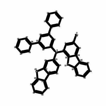 Brc1cc(N(c2cc(-c3ccccc3)cc(-c3ccccc3)c2)c2ccc3c(c2)oc2ccccc23)c2sc3ccccc3c2c1